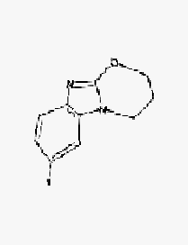 Ic1ccc2nc3n(c2c1)CCCO3